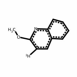 [2H]c1cc2ccccc2nc1OC